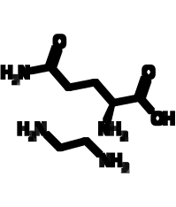 NC(=O)CC[C@H](N)C(=O)O.NCCN